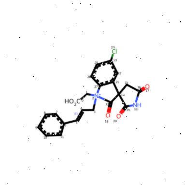 O=C(O)C[N+]1(C/C=C/c2ccccc2)C(=O)C2(CC(=O)NC2=O)c2cc(Cl)ccc21